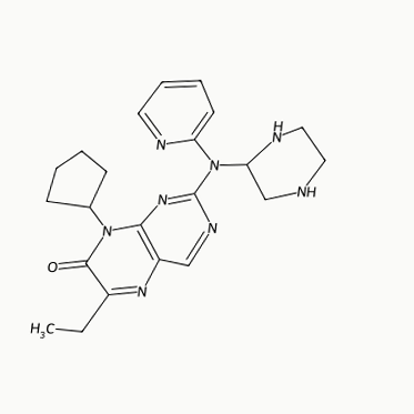 CCc1nc2cnc(N(c3ccccn3)C3CNCCN3)nc2n(C2CCCC2)c1=O